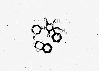 CCC1(c2ccccc2)C(=O)N([C@H]2CCCN(C[C@H]3COc4ccccc4O3)C2)C(=O)N1C